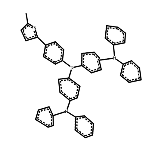 Cc1ccc(-c2ccc(N(c3ccc(N(c4ccccc4)c4ccccc4)cc3)c3ccc(N(c4ccccc4)c4ccccc4)cc3)cc2)s1